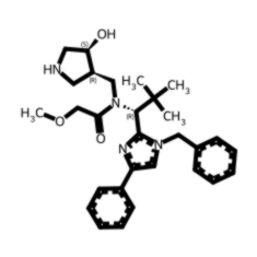 COCC(=O)N(C[C@H]1CNC[C@H]1O)[C@@H](c1nc(-c2ccccc2)cn1Cc1ccccc1)C(C)(C)C